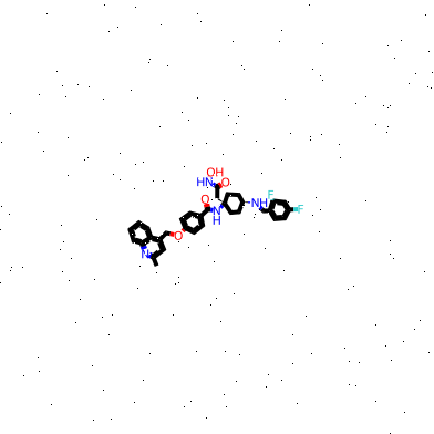 Cc1cc(COc2ccc(C(=O)N[C@]3(CC(=O)NO)CC[C@@H](NCc4ccc(F)cc4F)CC3)cc2)c2ccccc2n1